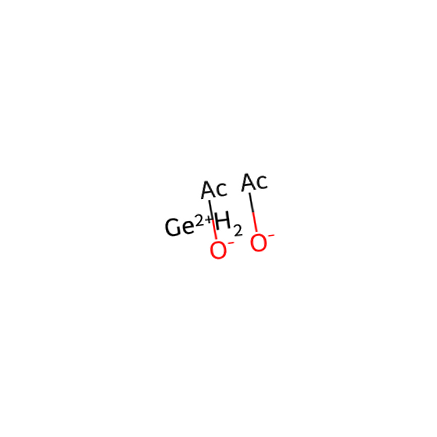 CC(=O)[O-].CC(=O)[O-].[GeH2+2]